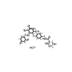 CN[C@@H](CO)C(=O)NCc1ccc(Cc2c(C)[nH]c(=O)c(Br)c2OCc2ccc(F)cc2F)cc1.Cl